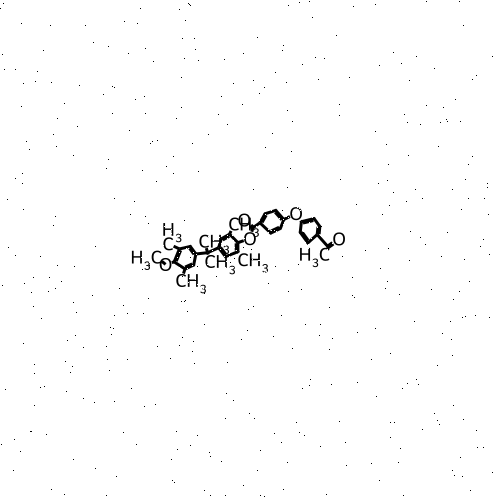 COc1c(C)cc(C(C)(C)c2cc(C)c(OC(=O)c3ccc(Oc4ccc(C(C)=O)cc4)cc3)c(C)c2)cc1C